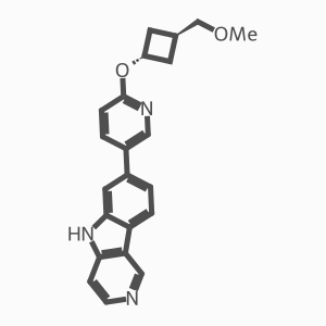 COC[C@H]1C[C@H](Oc2ccc(-c3ccc4c(c3)[nH]c3ccncc34)cn2)C1